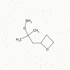 CC(C)(CC1CCO1)O[SiH3]